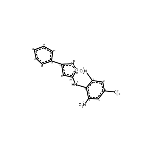 O=[N+]([O-])c1cc(C(F)(F)F)cc([N+](=O)[O-])c1Nc1cc(-c2ccccc2)no1